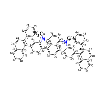 CN1c2cc(-c3c(-c4ccccc4)ccc4ccccc34)ccc2-c2ccc3c4c(ccc1c24)N(C)c1cc(-c2c(-c4ccccc4)ccc4ccccc24)ccc1-3